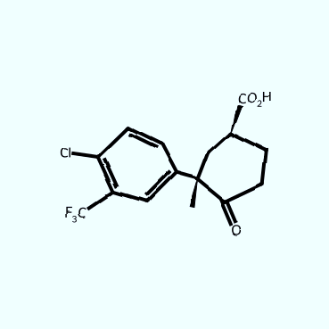 C[C@@]1(c2ccc(Cl)c(C(F)(F)F)c2)C[C@@H](C(=O)O)CCC1=O